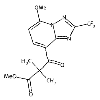 COC(=O)C(C)(C)C(=O)c1ccc(OC)n2nc(C(F)(F)F)nc12